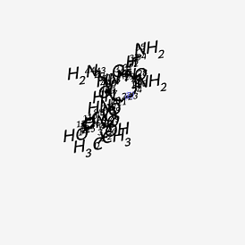 CC(C)C[C@H](NC(=O)[C@H](Cc1ccc(O)cc1)NC(=O)[C@@H]1C/C=C/C[C@H](N)C(=O)N[C@@H](CCCCN)C(=O)N[C@H](CCCCN)C(=O)N1)C(=O)O